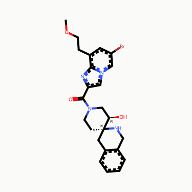 COCCc1cc(Br)cn2cc(C(=O)N3CC[C@]4(Cc5ccccc5CN4)[C@H](O)C3)nc12